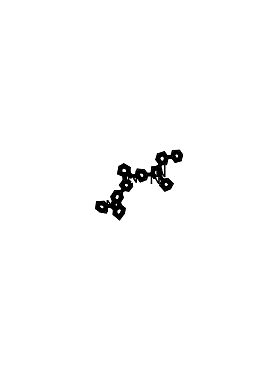 c1ccc(-c2cccc(-c3cc(-c4ccc(-n5c6ccccc6c6cc(-c7ccc8c(c7)c7ccccc7n8-c7ccccc7)ccc65)cc4)nc(-c4ccccc4)n3)c2)cc1